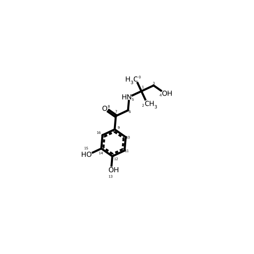 CC(C)(CO)NCC(=O)c1ccc(O)c(O)c1